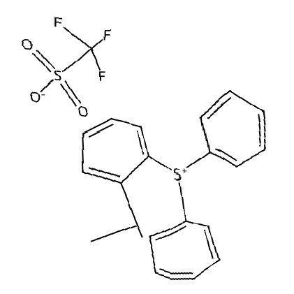 CC(C)c1ccccc1[S+](c1ccccc1)c1ccccc1.O=S(=O)([O-])C(F)(F)F